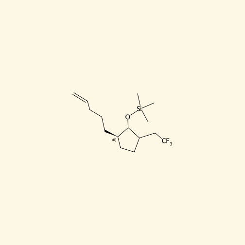 C=CCCC[C@@H]1CCC(CC(F)(F)F)C1O[Si](C)(C)C